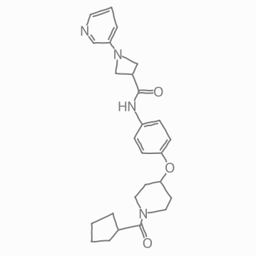 O=C(Nc1ccc(OC2CCN(C(=O)C3CCCC3)CC2)cc1)C1CN(c2cccnc2)C1